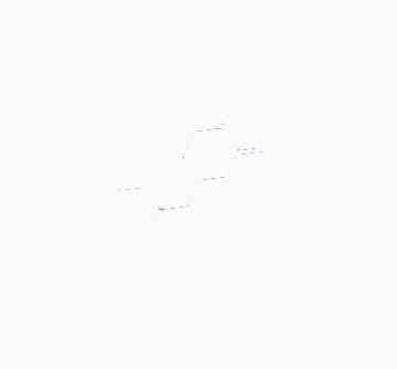 CCCOC(=O)CC1CCCC(=NO)C1